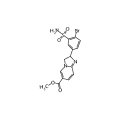 COC(=O)C1=CN2CC(c3ccc(Br)c(S(N)(=O)=O)c3)N=C2C=C1